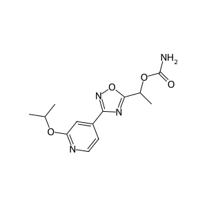 CC(C)Oc1cc(-c2noc(C(C)OC(N)=O)n2)ccn1